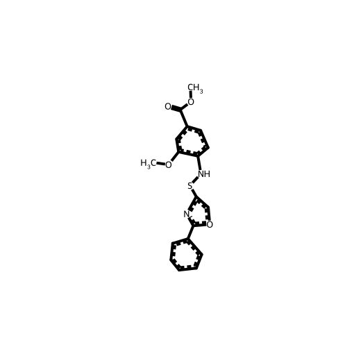 COC(=O)c1ccc(NSc2coc(-c3ccccc3)n2)c(OC)c1